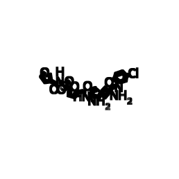 N[C@]1(NC(=O)c2ccc(S(=O)(=O)NC(=O)C3CCOC3)o2)C#C[C@]2(C1)C[C@@](N)(c1nc3cc(Cl)ccc3o1)C2